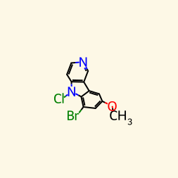 COc1cc(Br)c2c(c1)c1cnccc1n2Cl